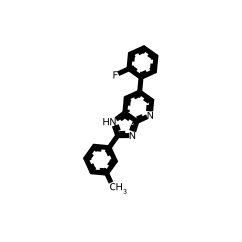 Cc1cccc(-c2nc3ncc(-c4ccccc4F)cc3[nH]2)c1